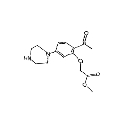 COC(=O)COc1cc(N2CCNCC2)ccc1C(C)=O